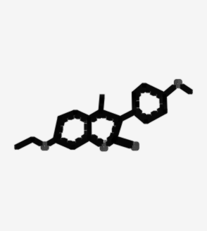 CCOc1ccc2c(C)c(-c3ccc(OC)cc3)c(=O)oc2c1